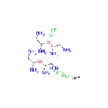 NCC(N)OC(N)CN.NCC(N)OC(N)CN.[Cl-].[Cl-].[Cl-].[Cl-].[Cl-].[Re+5]